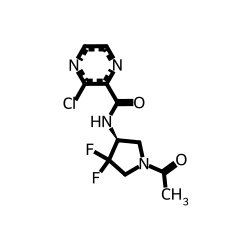 CC(=O)N1C[C@H](NC(=O)c2nccnc2Cl)C(F)(F)C1